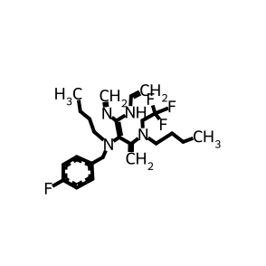 C=CN/C(N=C)=C(\C(=C)N(CCCC)CC(F)(F)F)N(CCCC)Cc1ccc(F)cc1